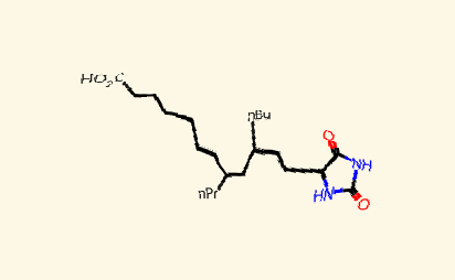 CCCCC(CCC1NC(=O)NC1=O)CC(CCC)CCCCCCC(=O)O